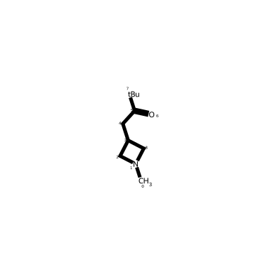 CN1CC(CC(=O)C(C)(C)C)C1